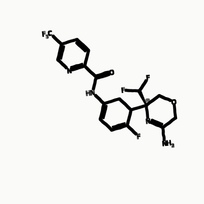 NC1=N[C@](C(F)F)(C2CC(NC(=O)c3ccc(C(F)(F)F)cn3)=CC=C2F)COC1